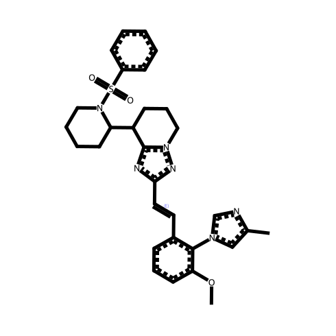 COc1cccc(/C=C/c2nc3n(n2)CCCC3C2CCCCN2S(=O)(=O)c2ccccc2)c1-n1cnc(C)c1